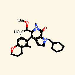 Cc1c(-c2c(C(OC(C)(C)C)C(=O)O)n(C)c(=O)c3c2ccn3CC2CCCCC2)ccc2c1CCCO2